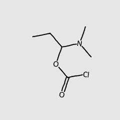 CCC(OC(=O)Cl)N(C)C